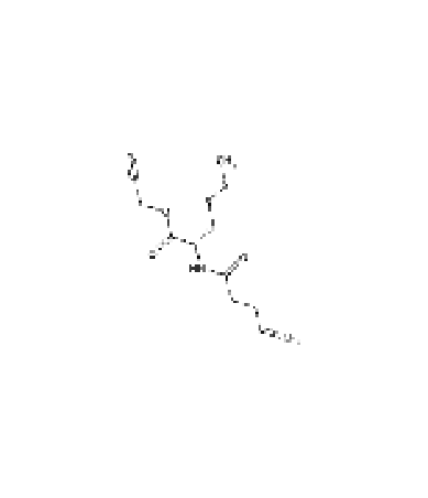 C=CCCC(=O)N[C@@H](CSSC)C(=O)OCC#N